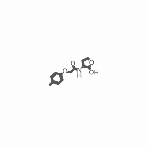 O=C(COc1ccc(I)cc1)N[C@H]1CCOC1O